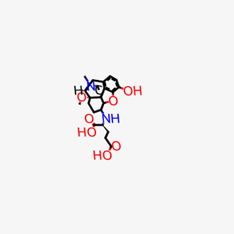 CO[C@@]12CCC(N[C@@H](CCC(=O)O)C(=O)O)C3Oc4c(O)ccc5c4[C@@]31CCN(C)[C@@H]2C5